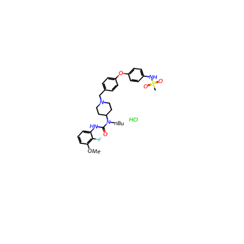 CCCCN(C(=O)Nc1cccc(OC)c1F)C1CCN(Cc2ccc(Oc3ccc(NS(C)(=O)=O)cc3)cc2)CC1.Cl